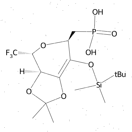 CC1(C)OC2=C(O[Si](C)(C)C(C)(C)C)[C@H](CP(=O)(O)O)O[C@@H](C(F)(F)F)[C@@H]2O1